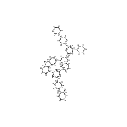 c1ccc(-c2ccc(-c3nc(-c4ccccc4)nc(-c4cccc(-c5ccc6oc7cccc(-c8nc(-c9ccccc9)nc(-c9ccc%10c(c9)oc9ccccc9%10)n8)c7c6c5)c4)n3)cc2)cc1